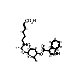 CC1OC(O[C@H](C)CCCC/C=C/C(=O)O)[C@@H](O)C[C@H]1OC(=O)c1c[nH]c2ccccc12